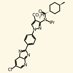 CC(C)N(c1nn(-c2ccc(C3=NC4C=C(Cl)C=NC4=N3)cc2)cc1C(=O)O)C(=O)[C@H]1CC[C@H](C)CC1